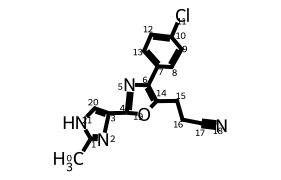 Cc1nc(-c2nc(-c3ccc(Cl)cc3)c(CCC#N)o2)c[nH]1